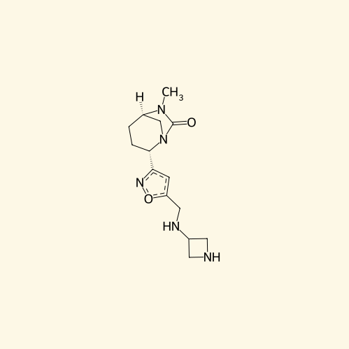 CN1C(=O)N2C[C@H]1CC[C@H]2c1cc(CNC2CNC2)on1